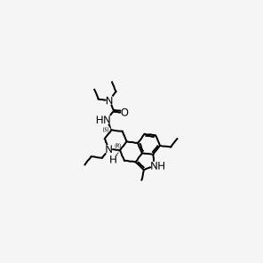 CCCN1C[C@@H](NC(=O)N(CC)CC)CC2c3ccc(CC)c4[nH]c(C)c(c34)C[C@H]21